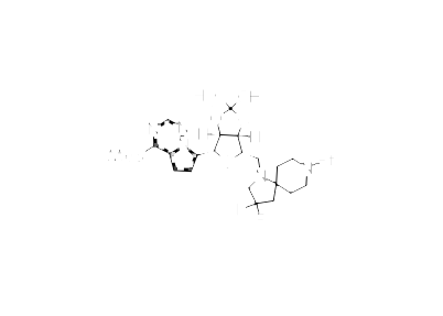 CCN1CCC2(CC1)CC(F)(F)CN2C[C@H]1O[C@@H](c2ccc3c(SC)ncnn23)[C@@H]2OC(C)(C)O[C@@H]21